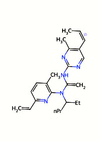 C=Cc1ccc(C)c(N(C(=C)Nc2ncc(/C=C\C)c(C)n2)C(CC)CCC)n1